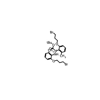 Cc1cccc(OCCCBr)c1NN(C(=O)OC(C)(C)C)c1c(C)cccc1OCCCBr